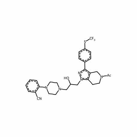 CC(=O)N1CCc2c(c(-c3ccc(SC(F)(F)F)cc3)nn2CC(O)CN2CCN(c3ccccc3C#N)CC2)C1